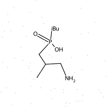 CCC(C)P(=O)(O)CC(C)CN